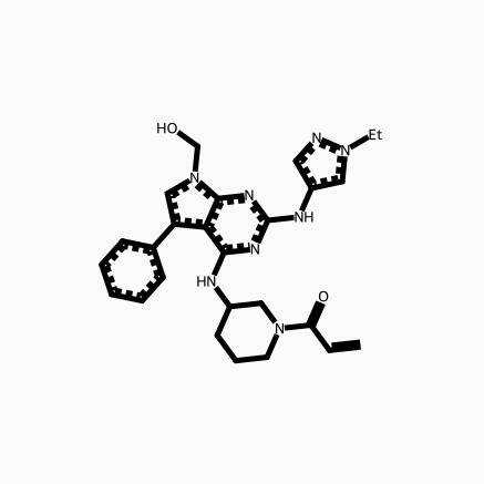 C=CC(=O)N1CCCC(Nc2nc(Nc3cnn(CC)c3)nc3c2c(-c2ccccc2)cn3CO)C1